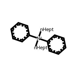 CCCCCCC[N+](CCCCCCC)(c1ccccc1)c1ccccc1